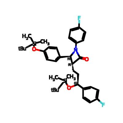 CC(C)(C)[Si](C)(C)Oc1ccc([C@@H]2[C@@H](CC[C@H](O[Si](C)(C)C(C)(C)C)c3ccc(F)cc3)C(=O)N2c2ccc(F)cc2)cc1